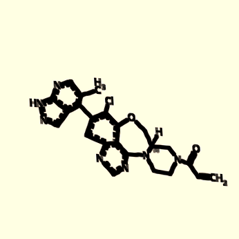 C=CC(=O)N1CCN2c3ncnc4cc(-c5c(C)cnc6[nH]ncc56)c(Cl)c(c34)OC[C@@H]2C1